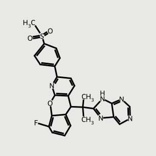 CC(C)(c1nc2cncnc2[nH]1)C1c2ccc(-c3ccc(S(C)(=O)=O)cc3)nc2Oc2c(F)cccc21